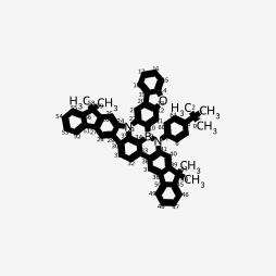 CC(C)(C)c1ccc(N2B3c4cc5oc6ccccc6c5cc4-n4c5cc6c(cc5c5ccc(c3c54)-c3cc4c(cc32)C(C)(C)c2ccccc2-4)-c2ccccc2C6(C)C)cc1